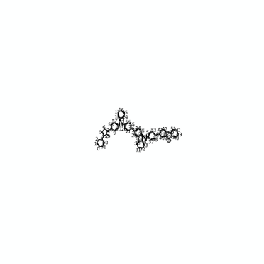 C1=CCC(C2=CCC(c3ccc(N(c4ccccc4)c4ccc(-c5ccc6c(c5)c5ccccc5n6-c5ccc(-c6ccc7c(c6)sc6ccccc67)cc5)cc4)cc3)S2)C=C1